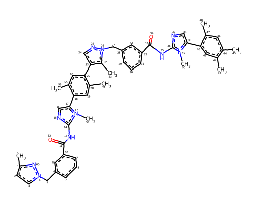 Cc1ccn(Cc2cccc(C(=O)Nc3ncc(-c4cc(C)c(-c5cnn(Cc6cccc(C(=O)Nc7ncc(-c8cc(C)c(C)cc8C)n7C)c6)c5C)cc4C)n3C)c2)n1